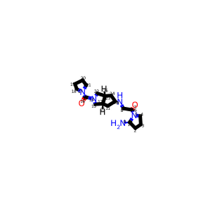 N[C@@H]1CCCN1C(=O)CN[C@@H]1C[C@@H]2CN(C(=O)N3CCCC3)C[C@@H]2C1